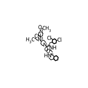 CC(=O)N1CCC(N(CC(C)C)C2CCN(C(=O)[C@@H](Cc3ccc(Cl)cc3Cl)NC(=O)C[C@H]3NCCc4ccccc43)CC2)CC1